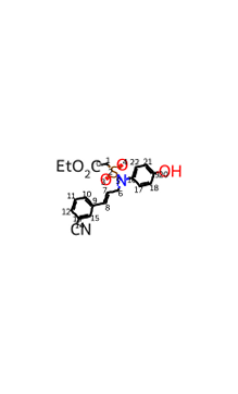 CCOC(=O)CS(=O)(=O)N(C/C=C/c1cccc(C#N)c1)c1ccc(O)cc1